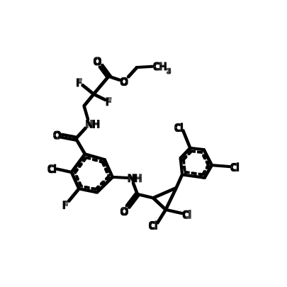 CCOC(=O)C(F)(F)CNC(=O)c1cc(NC(=O)C2C(c3cc(Cl)cc(Cl)c3)C2(Cl)Cl)cc(F)c1Cl